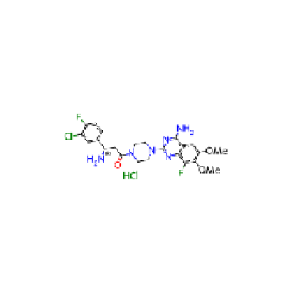 COc1cc2c(N)nc(N3CCN(C(=O)C[C@@H](N)c4ccc(F)c(Cl)c4)CC3)nc2c(F)c1OC.Cl